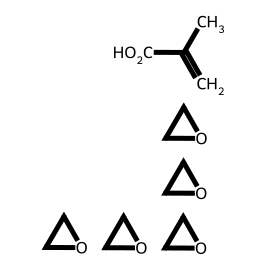 C1CO1.C1CO1.C1CO1.C1CO1.C1CO1.C=C(C)C(=O)O